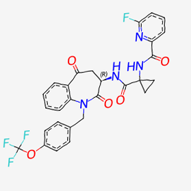 O=C(NC1(C(=O)N[C@@H]2CC(=O)c3ccccc3N(Cc3ccc(OC(F)(F)F)cc3)C2=O)CC1)c1cccc(F)n1